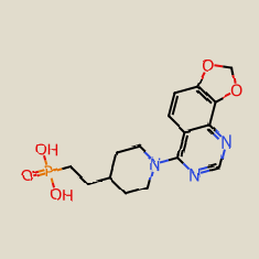 O=P(O)(O)CCC1CCN(c2ncnc3c4c(ccc23)OCO4)CC1